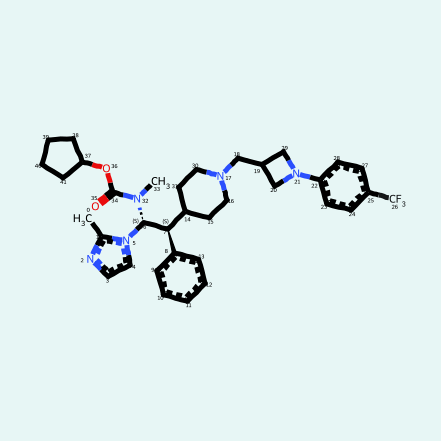 Cc1nccn1[C@@H]([C@H](c1ccccc1)C1CCN(CC2CN(c3ccc(C(F)(F)F)cc3)C2)CC1)N(C)C(=O)OC1CCCC1